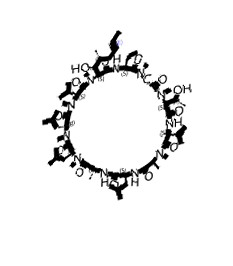 C=C(C)[C@@H]1NC(=O)[C@H]([C@@H](C)O)N(C)C(=O)CN(C)C(=O)[C@H](CC)NC(=O)[C@H]([C@H](O)[C@H](C)C/C=C/C)N(C)C(=O)[C@H](C(C)C)N(C)C(=O)[C@@H](CC(C)C)N(C)C(=O)[C@H](CC(C)C)N(C)C(=O)[C@@H](C)NC(=O)[C@H](CC(C)C)NC(=O)[C@H](C)N(C)C1=O